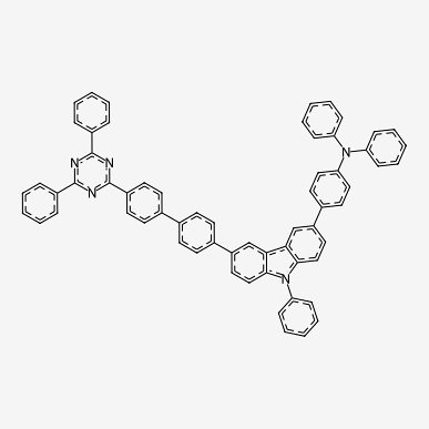 c1ccc(-c2nc(-c3ccccc3)nc(-c3ccc(-c4ccc(-c5ccc6c(c5)c5cc(-c7ccc(N(c8ccccc8)c8ccccc8)cc7)ccc5n6-c5ccccc5)cc4)cc3)n2)cc1